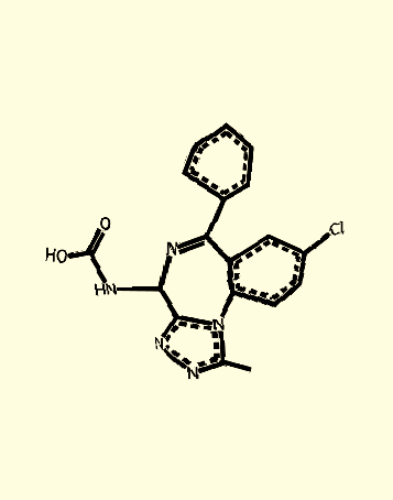 Cc1nnc2n1-c1ccc(Cl)cc1C(c1ccccc1)=NC2NC(=O)O